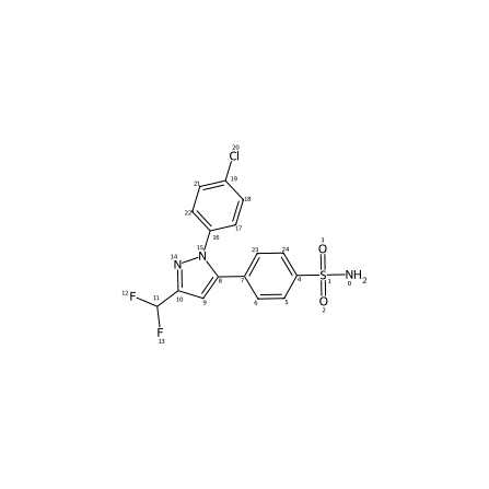 NS(=O)(=O)c1ccc(-c2cc(C(F)F)nn2-c2ccc(Cl)cc2)cc1